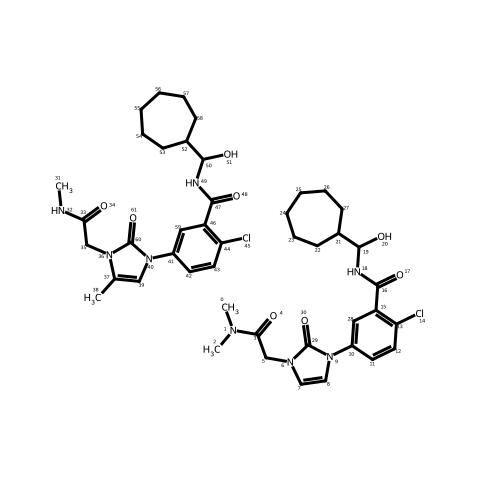 CN(C)C(=O)Cn1ccn(-c2ccc(Cl)c(C(=O)NC(O)C3CCCCCC3)c2)c1=O.CNC(=O)Cn1c(C)cn(-c2ccc(Cl)c(C(=O)NC(O)C3CCCCCC3)c2)c1=O